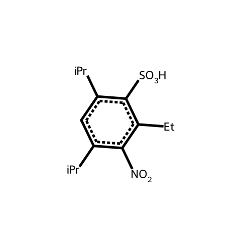 CCc1c([N+](=O)[O-])c(C(C)C)cc(C(C)C)c1S(=O)(=O)O